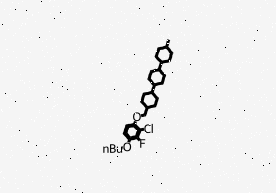 CCCCOc1ccc(OCC2CCC(C3CCC(C4CCC(C)CC4)CC3)CC2)c(Cl)c1F